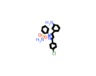 Nc1cccc(-c2cc(-c3ccc(Cl)cc3)nn2-c2ccccc2S(N)(=O)=O)c1